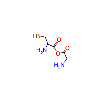 NCC(=O)OC(=O)C(N)CS